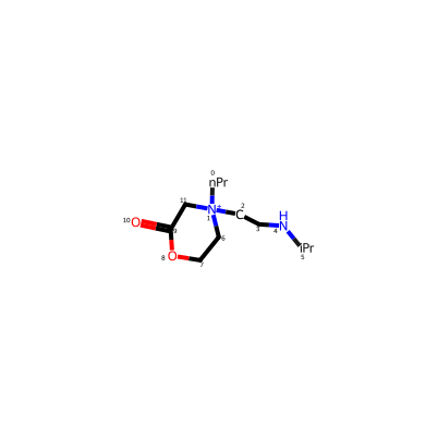 CCC[N+]1(CCNC(C)C)CCOC(=O)C1